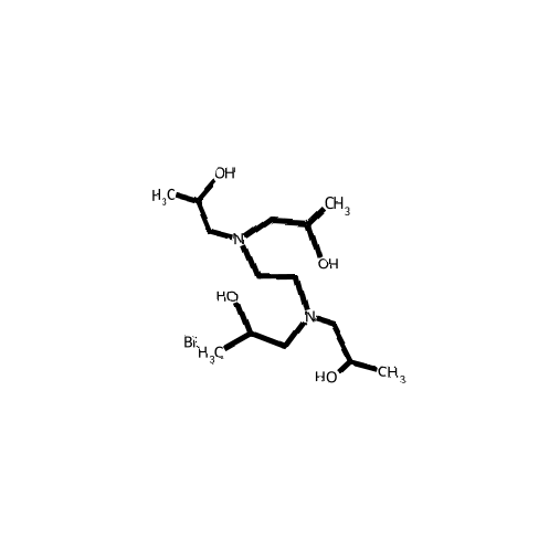 CC(O)CN(CCN(CC(C)O)CC(C)O)CC(C)O.[Bi]